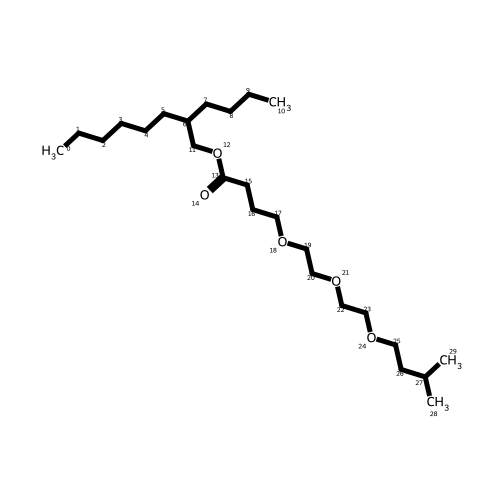 CCCCCCC(CCCC)COC(=O)CCCOCCOCCOCCC(C)C